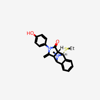 C=C1C2C3c4ccccc4[C@](SCC)([C@H]2C(=O)N1c1ccc(O)cc1)N3C